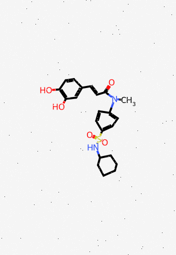 CN(C(=O)C=Cc1ccc(O)c(O)c1)c1ccc(S(=O)(=O)NC2CCCCC2)cc1